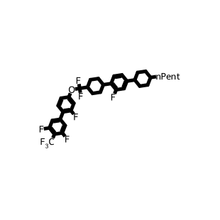 CCCCCC1CCC(c2ccc(C3CCC(C(F)(F)Oc4ccc(-c5cc(F)c(C(F)(F)F)c(F)c5)c(F)c4)CC3)c(F)c2)CC1